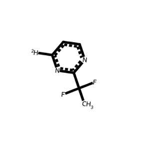 [2H]c1ccnc(C(C)(F)F)n1